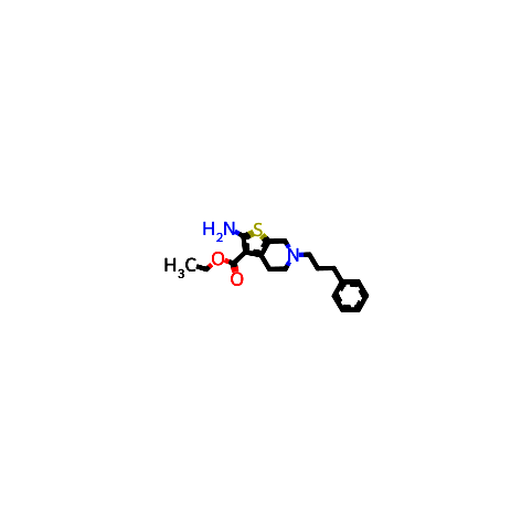 CCOC(=O)c1c(N)sc2c1CCN(CCCc1ccccc1)C2